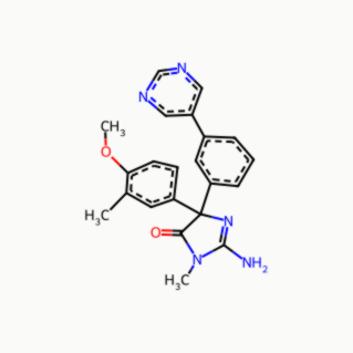 COc1ccc(C2(c3cccc(-c4cncnc4)c3)N=C(N)N(C)C2=O)cc1C